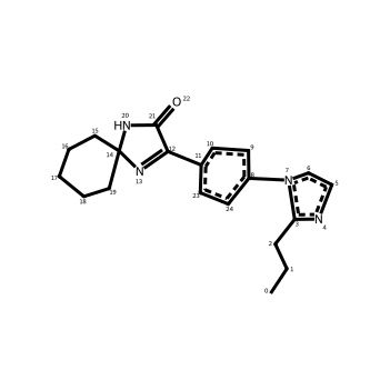 CCCc1nccn1-c1ccc(C2=NC3(CCCCC3)NC2=O)cc1